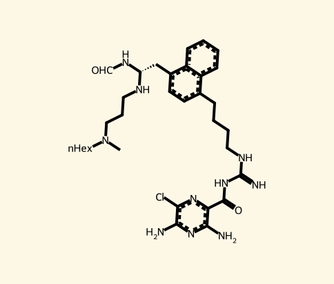 CCCCCCN(C)CCCN[C@@H](Cc1ccc(CCCCNC(=N)NC(=O)c2nc(Cl)c(N)nc2N)c2ccccc12)NC=O